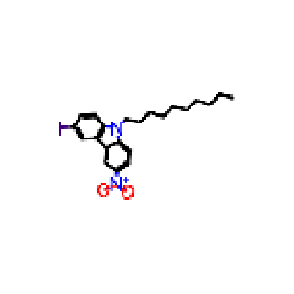 CCCCCCCCCCn1c2ccc(I)cc2c2cc([N+](=O)[O-])ccc21